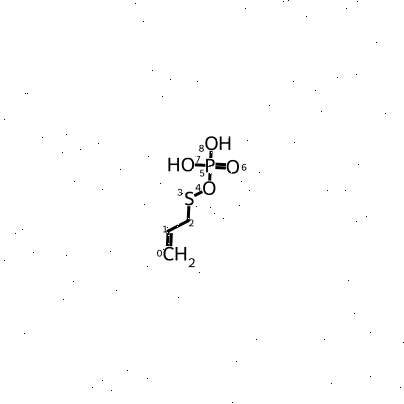 C=CCSOP(=O)(O)O